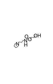 O=C(NCCCN1CCCC1)OCCO